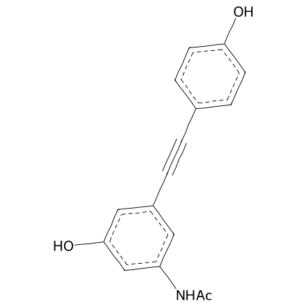 CC(=O)Nc1cc(O)cc(C#Cc2ccc(O)cc2)c1